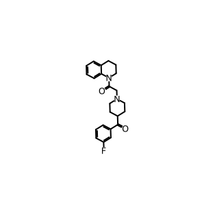 O=C(c1cccc(F)c1)C1CCN(CC(=O)N2CCCc3ccccc32)CC1